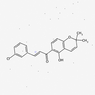 CC1(C)C=Cc2c(ccc(C(=O)/C=C/c3cccc(Cl)c3)c2O)O1